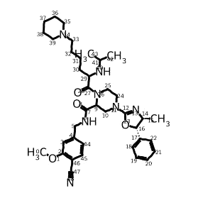 COc1cc(CNC(=O)C2CN(C3=N[C@@H](C)[C@H](c4ccccc4)O3)CCN2C(=O)C(CCCCN2CCCCC2)NC(C)C)ccc1C#N